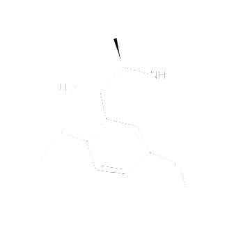 COc1ccc(OC)c([C@H](O)[C@@H](C)N)c1